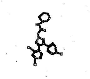 O=C(Cn1nc(-c2ccc(Cl)cc2)c(-c2ccc(Cl)cc2Cl)n1)NN1CCCCC1